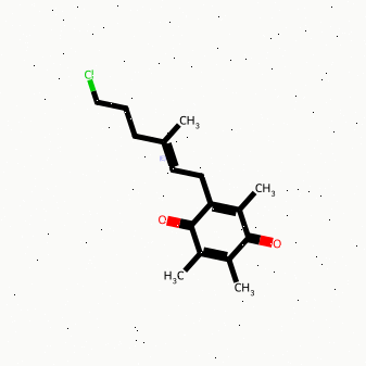 CC1=C(C)C(=O)C(C/C=C(\C)CCCCl)=C(C)C1=O